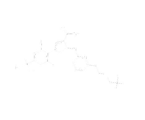 CC(C)(O)COCCc1cccc(Nc2sc(-c3c(F)cc(C(C)(C)O)cc3F)cc2C(N)=O)n1